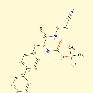 CC(C)(C)OC(=O)NC(Cc1ccc(-c2ccccc2)cc1)C(=O)NCCC#N